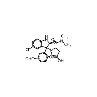 COc1ccc(C=O)cc1C1(N2C[C@H](O)C[C@H]2C(=O)N(C)C)C(=O)Nc2ccc(Cl)cc21